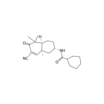 CC1(C)C(=O)C(C#N)=C[C@]2(C)C[C@@H](NC(=O)C3CCCCC3)CC[C@H]12